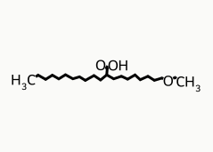 CCCCCCCCCCCC(CCCCCCCCOCC)C(=O)O